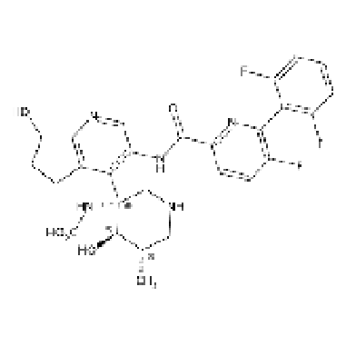 C[C@H]1CNC[C@](NC(=O)O)(c2c(NC(=O)c3ccc(F)c(-c4c(F)cccc4F)n3)cnc3c2CCC3O)[C@@H]1O